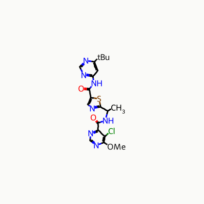 COc1ncnc(C(=O)NC(C)c2ncc(C(=O)Nc3cc(C(C)(C)C)ncn3)s2)c1Cl